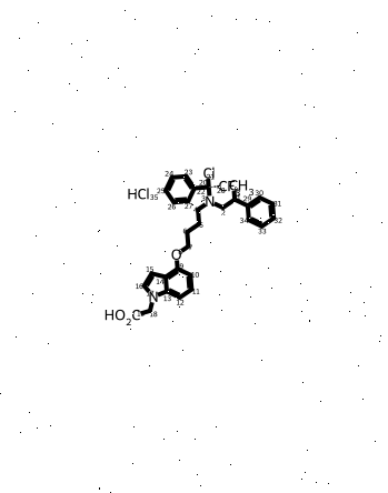 CC(CN(CCCCOc1cccc2c1ccn2CC(=O)O)[C@](Cl)(c1ccccc1)C(F)(F)F)c1ccccc1.Cl